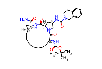 CC(C)(C)OC(=O)N[C@H]1CCCCCCC[C@@H]2C[C@@]2(C(N)=O)NC(=O)[C@@H]2C[C@@H](NC(=O)N3CCc4ccccc4C3)CN2C1=O